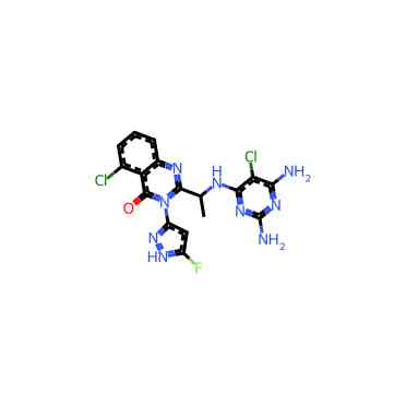 CC(Nc1nc(N)nc(N)c1Cl)c1nc2cccc(Cl)c2c(=O)n1-c1cc(F)[nH]n1